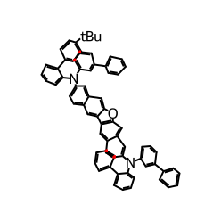 CC(C)(C)c1ccc(-c2ccccc2N(c2cccc(-c3ccccc3)c2)c2ccc3cc4c(cc3c2)oc2cc3cc(N(c5cccc(-c6ccccc6)c5)c5ccccc5-c5ccccc5)ccc3cc24)cc1